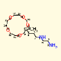 C[Si]1(CCCNCCN)COCCOCCOCCOCO1